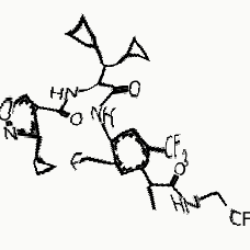 CC(C(=O)NCC(F)(F)F)c1cc(F)c(NC(=O)[C@@H](NC(=O)c2conc2C2CC2)C(C2CC2)C2CC2)cc1C(F)(F)F